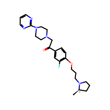 C[C@@H]1CCCN1CCCOc1ccc(C(=O)CN2CCN(c3ncccn3)CC2)cc1F